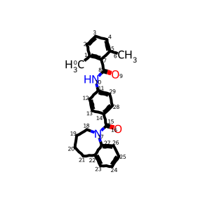 Cc1cccc(C)c1C(=O)Nc1ccc(C(=O)N2CCCCc3ccccc32)cc1